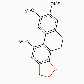 COc1cc2c(cc1OC)-c1c(OC)cc3c(c1CC2)OOC3